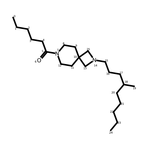 CCCCCC(=O)N1CCC2(CC1)CN(CCCC(C)CCCCC)C2